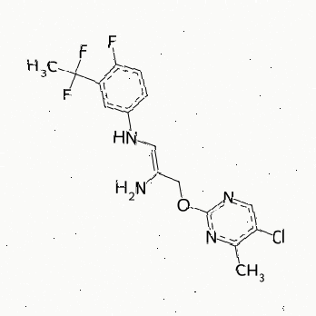 Cc1nc(OC/C(N)=C/Nc2ccc(F)c(C(C)(F)F)c2)ncc1Cl